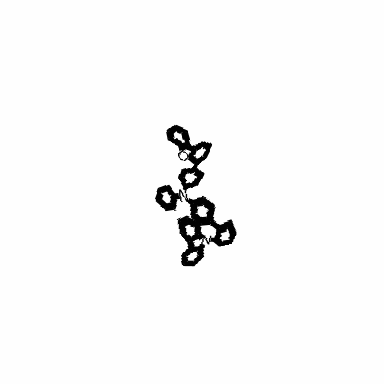 c1ccc(N(c2ccc(-c3ccccc3-n3c4ccccc4c4ccccc43)cc2)c2ccc(-c3cccc4c3oc3ccccc34)cc2)cc1